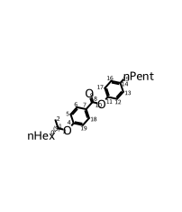 CCCCCC[C@H](C)Oc1ccc(C(=O)Oc2ccc(CCCCC)cc2)cc1